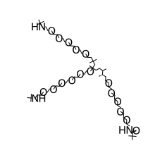 CC(CCC(C)(CC(C)(C)CCOCCOCCOCCOCCOCCNC(C)(C)C)OCCOCCOCCOCCOCCOCCNC(C)(C)C)[C@H](C)CCOCCOCCOCCOCCOCCNC(=O)C(C)(C)C